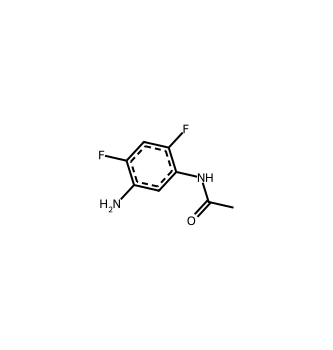 CC(=O)Nc1cc(N)c(F)cc1F